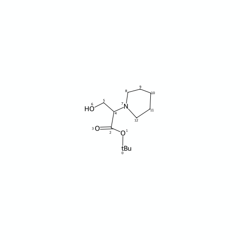 CC(C)(C)OC(=O)C(CO)N1CCCCC1